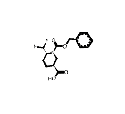 O=C(O)[C@H]1CC[C@H](C(F)F)N(C(=O)OCc2ccccc2)C1